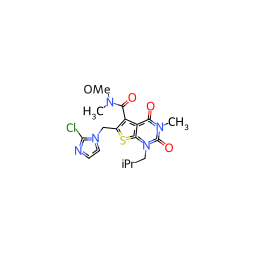 CON(C)C(=O)c1c(Cn2ccnc2Cl)sc2c1c(=O)n(C)c(=O)n2CC(C)C